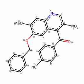 COc1cc2ncc([N+](=O)[O-])c(C(=O)c3ccc(C#N)cc3)c2cc1OCc1ccccc1